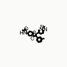 CC(=O)NC1CCC2(CC1)OC(c1ccc3ncnn3c1)=C(c1cccc(C)c1)C2=O